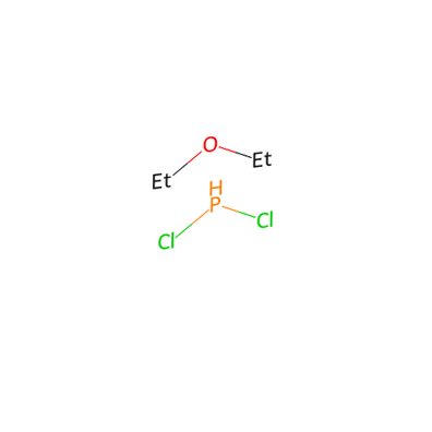 CCOCC.ClPCl